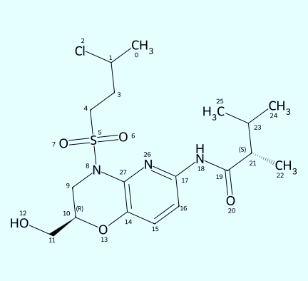 CC(Cl)CCS(=O)(=O)N1C[C@H](CO)Oc2ccc(NC(=O)[C@@H](C)C(C)C)nc21